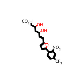 O=C(O)C[C@@H](O)C[C@H](O)/C=C/c1ccc(-c2ccc(C(F)(F)F)cc2[N+](=O)[O-])o1